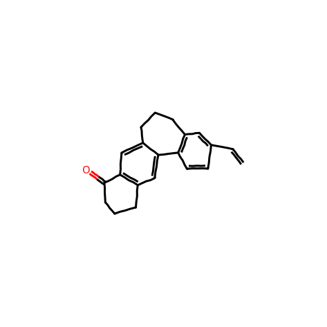 C=Cc1ccc2c(c1)CCCc1cc3c(cc1-2)CCCC3=O